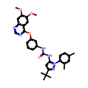 COc1cc2ncnc(Oc3cccc(NC(=O)Nc4cc(C(C)(C)C)nn4-c4ccc(C)cc4C)c3)c2cc1OC